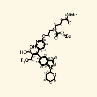 CNC(=O)CCCN(CCOc1ccc(/C(=C(/CC(F)(F)F)B(O)O)c2ccc3c(c2)c(F)nn3C2CCCCO2)cn1)C(=O)OC(C)(C)C